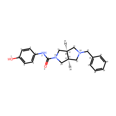 O=C(Nc1ccc(O)cc1)N1C[C@H]2CN(Cc3ccccc3)C[C@H]2C1